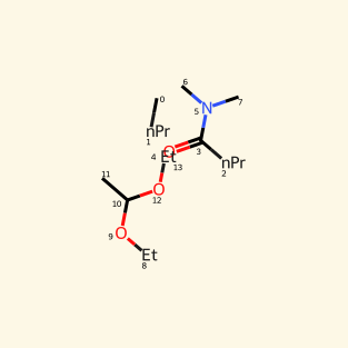 CCCC.CCCC(=O)N(C)C.CCOC(C)OCC